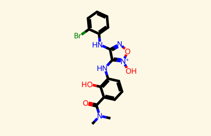 CN(C)C(=O)c1cccc(Nc2c(Nc3ccccc3Br)no[n+]2O)c1O